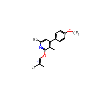 CC/C(C)=C/Oc1nc(CC)cc(-c2ccc(OC(F)(F)F)cc2)c1C